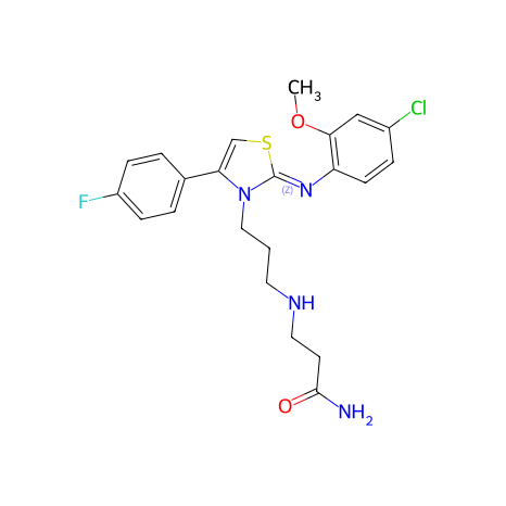 COc1cc(Cl)ccc1/N=c1\scc(-c2ccc(F)cc2)n1CCCNCCC(N)=O